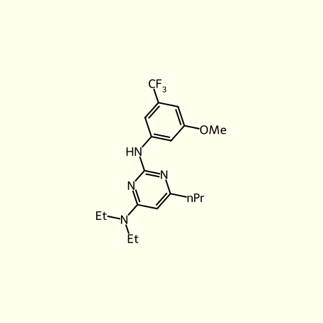 CCCc1cc(N(CC)CC)nc(Nc2cc(OC)cc(C(F)(F)F)c2)n1